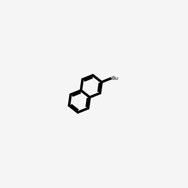 CC[C](C)c1ccc2ccccc2c1